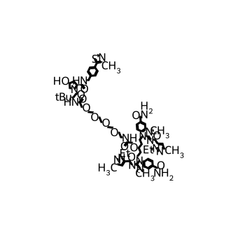 CCn1nc(C)cc1C(=O)N=c1n(C)c2cc(C(N)=O)ccc2n1CCC(CCn1c(=NC(=O)c2cc(C)nn2CC)n(C)c2cc(C(N)=O)ccc21)OCC(=O)NCCOCCOCCOCCOCC(=O)N[C@H](C(=O)N1C[C@H](O)C[C@H]1C(=O)NCc1ccc(-c2scnc2C)cc1)C(C)(C)C